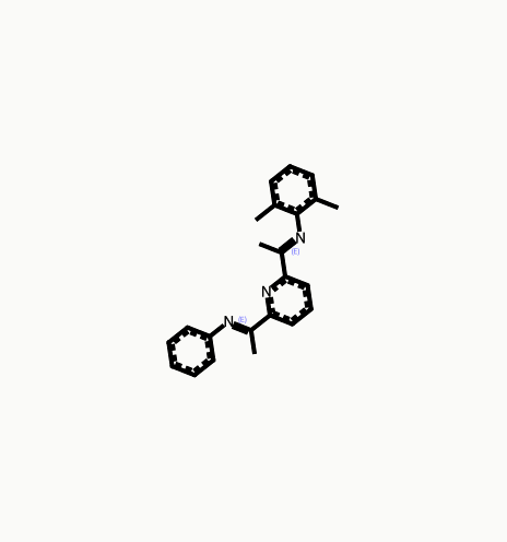 C/C(=N\c1ccccc1)c1cccc(/C(C)=N/c2c(C)cccc2C)n1